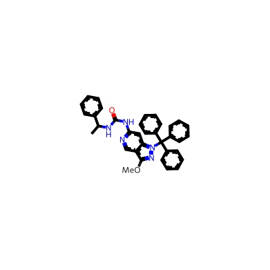 COc1nn(C(c2ccccc2)(c2ccccc2)c2ccccc2)c2cc(NC(=O)NC(C)c3ccccc3)ncc12